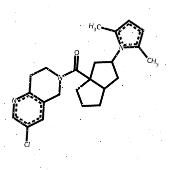 Cc1ccc(C)n1C1CC2CCCC2(C(=O)N2CCc3ncc(Cl)cc3C2)C1